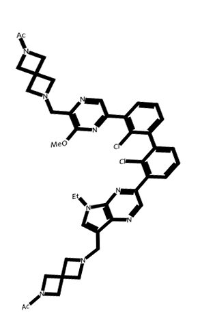 CCn1cc(CN2CC3(C2)CN(C(C)=O)C3)c2ncc(-c3cccc(-c4cccc(-c5cnc(CN6CC7(C6)CN(C(C)=O)C7)c(OC)n5)c4Cl)c3Cl)nc21